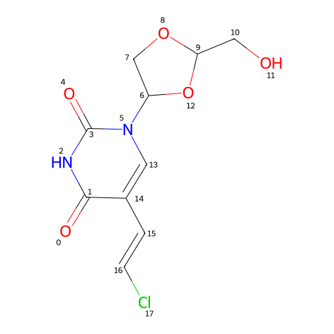 O=c1[nH]c(=O)n(C2COC(CO)O2)cc1C=CCl